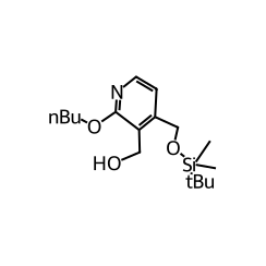 CCCCOc1nccc(CO[Si](C)(C)C(C)(C)C)c1CO